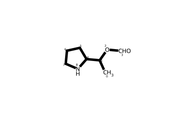 CC(OC=O)C1CCCN1